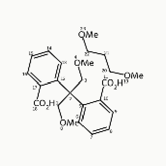 COCC(COC)(c1ccccc1C(=O)O)c1ccccc1C(=O)O.COCCCOC